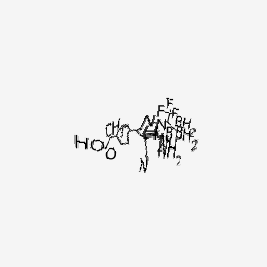 BC(B)(B)C(n1nc(-c2ccc(C(C)C(=O)O)cc2)c(C#N)c1N)C(F)(F)F